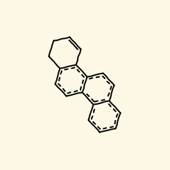 C1=Cc2c(ccc3c2ccc2ccccc23)CC1